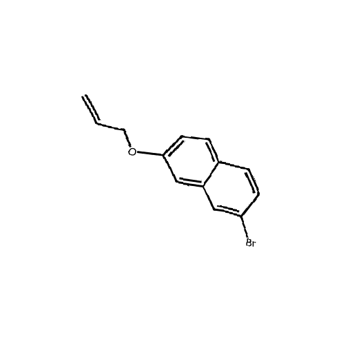 C=CCOc1ccc2ccc(Br)cc2c1